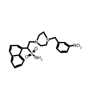 NS(=O)(=O)C(CN1CCN(Cc2cccc([N+](=O)[O-])c2)CC1)c1cccc2ccccc12